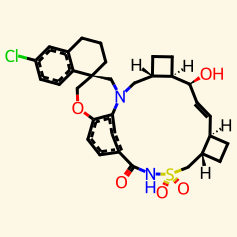 O=C1NS(=O)(=O)C[C@H]2CC[C@@H]2/C=C/[C@H](O)[C@@H]2CC[C@H]2CN2C[C@@]3(CCCc4cc(Cl)ccc43)COc3ccc1cc32